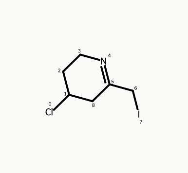 ClC1CCN=C(CI)C1